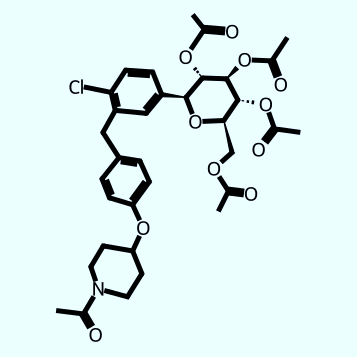 CC(=O)OC[C@H]1O[C@@H](c2ccc(Cl)c(Cc3ccc(OC4CCN(C(C)=O)CC4)cc3)c2)[C@H](OC(C)=O)[C@@H](OC(C)=O)[C@@H]1OC(C)=O